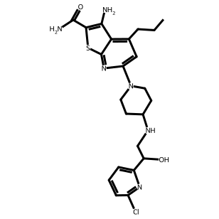 CCCc1cc(N2CCC(NCC(O)c3cccc(Cl)n3)CC2)nc2sc(C(N)=O)c(N)c12